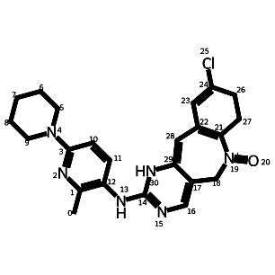 Cc1nc(N2CCCCC2)ccc1NC1=NC=C2C[N+](=O)C3=C(C=C(Cl)CC3)C=C2N1